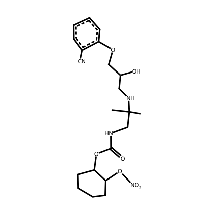 CC(C)(CNC(=O)OC1CCCCC1O[N+](=O)[O-])NCC(O)COc1ccccc1C#N